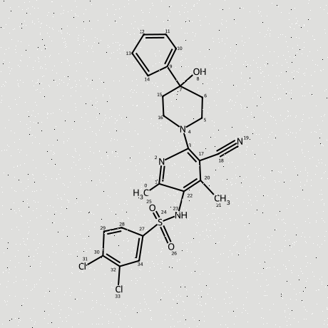 Cc1nc(N2CCC(O)(c3ccccc3)CC2)c(C#N)c(C)c1NS(=O)(=O)c1ccc(Cl)c(Cl)c1